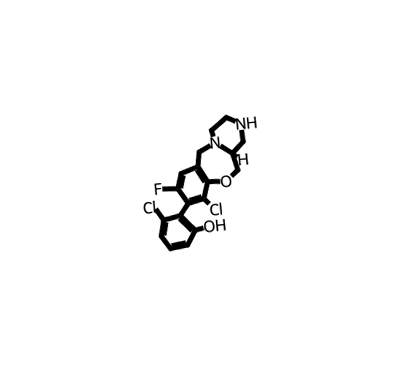 Oc1cccc(Cl)c1-c1c(F)cc2c(c1Cl)OC[C@H]1CNCCN1C2